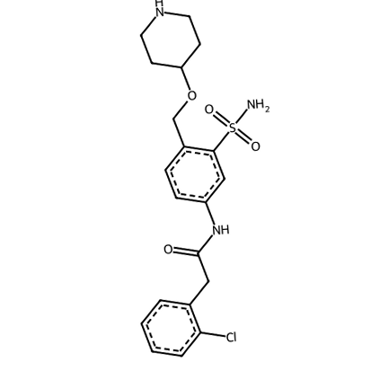 NS(=O)(=O)c1cc(NC(=O)Cc2ccccc2Cl)ccc1COC1CCNCC1